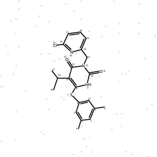 Cc1cc(C)cc(Sc2[nH]c(=O)n(Cc3cccc(Cl)n3)c(=O)c2C(C)C)c1